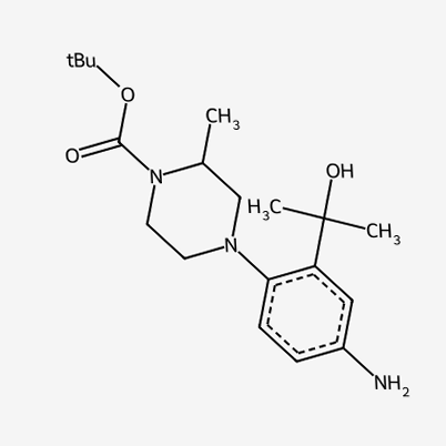 CC1CN(c2ccc(N)cc2C(C)(C)O)CCN1C(=O)OC(C)(C)C